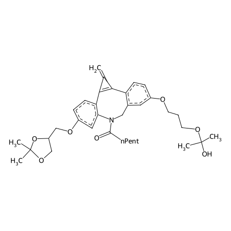 C=C1C2=C1c1ccc(OCC3COC(C)(C)O3)cc1N(C(=O)CCCCC)Cc1cc(OCCCOC(C)(C)O)ccc12